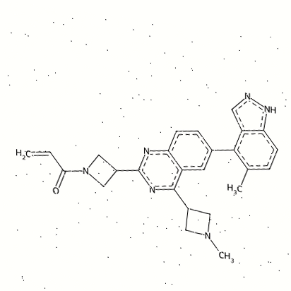 C=CC(=O)N1CC(c2nc(C3CN(C)C3)c3cc(-c4c(C)ccc5[nH]ncc45)ccc3n2)C1